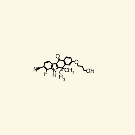 CC1(C)c2cc(OCCCO)ccc2C(=O)c2c1[nH]c1c(F)c(C#N)ccc21